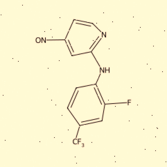 O=Nc1ccnc(Nc2ccc(C(F)(F)F)cc2F)c1